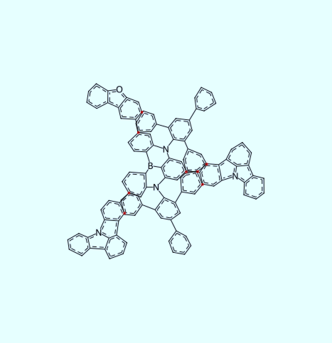 c1ccc(-c2cc(-c3ccccc3)c(N3c4cc(-c5ccc6oc7ccccc7c6c5)ccc4B4c5ccc(-c6ccc7c(c6)c6cccc8c9ccccc9n7c86)cc5N(c5c(-c6ccccc6)cc(-c6ccccc6)cc5-c5ccccc5)c5cc(-c6ccc7c(c6)c6cccc8c9ccccc9n7c86)cc3c54)c(-c3ccccc3)c2)cc1